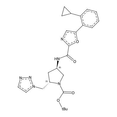 CC(C)(C)OC(=O)N1C[C@H](NC(=O)c2ncc(-c3ccccc3C3CC3)o2)C[C@H]1Cn1ccnn1